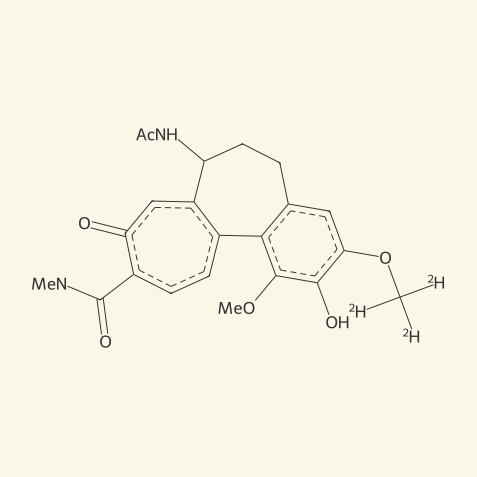 [2H]C([2H])([2H])Oc1cc2c(c(OC)c1O)-c1ccc(C(=O)NC)c(=O)cc1C(NC(C)=O)CC2